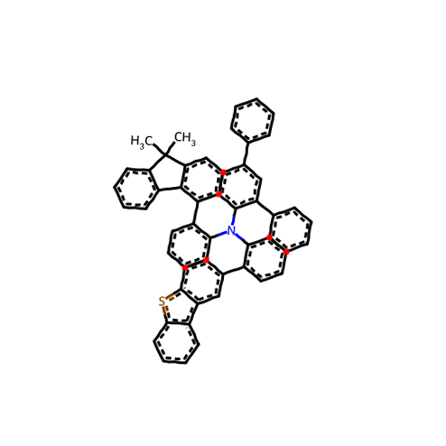 CC1(C)c2ccccc2-c2c(-c3ccccc3N(c3ccccc3-c3ccc4sc5ccccc5c4c3)c3ccc(-c4ccccc4)cc3-c3ccccc3)cccc21